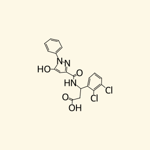 O=C(O)CC(NC(=O)c1cc(O)n(-c2ccccc2)n1)c1cccc(Cl)c1Cl